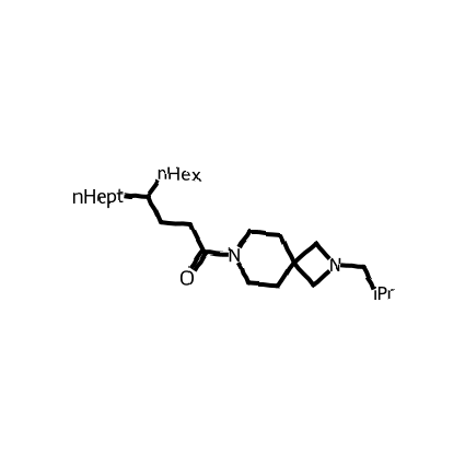 CCCCCCCC(CCCCCC)CCC(=O)N1CCC2(CC1)CN(CC(C)C)C2